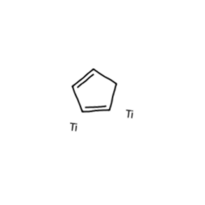 C1=CCC=C1.[Ti].[Ti]